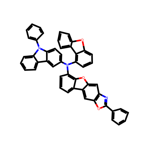 c1ccc(-c2nc3cc4oc5c(N(c6ccc7c(c6)c6ccccc6n7-c6ccccc6)c6cccc7oc8ccccc8c67)cccc5c4cc3o2)cc1